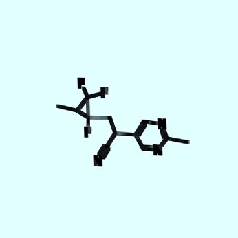 Cc1ncc(C(C#N)CC2(F)C(C)C2(F)F)cn1